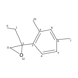 CCC1(c2ccc(C)cc2C)CO1